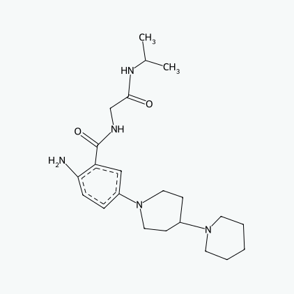 CC(C)NC(=O)CNC(=O)c1cc(N2CCC(N3CCCCC3)CC2)ccc1N